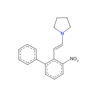 O=[N+]([O-])c1cccc(-c2ccccc2)c1C=CN1CCCC1